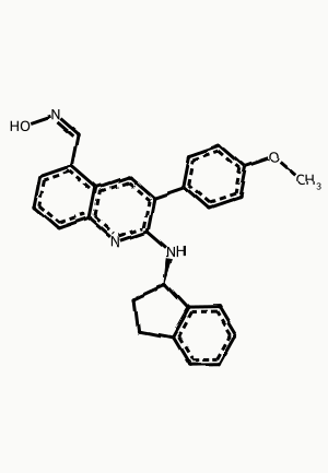 COc1ccc(-c2cc3c(/C=N\O)cccc3nc2N[C@@H]2CCc3ccccc32)cc1